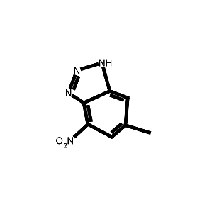 Cc1cc([N+](=O)[O-])c2nn[nH]c2c1